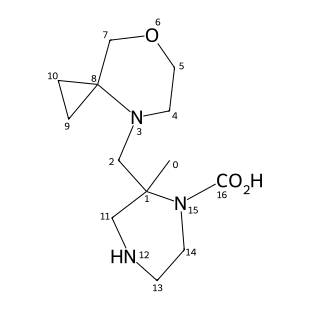 CC1(CN2CCOCC23CC3)CNCCN1C(=O)O